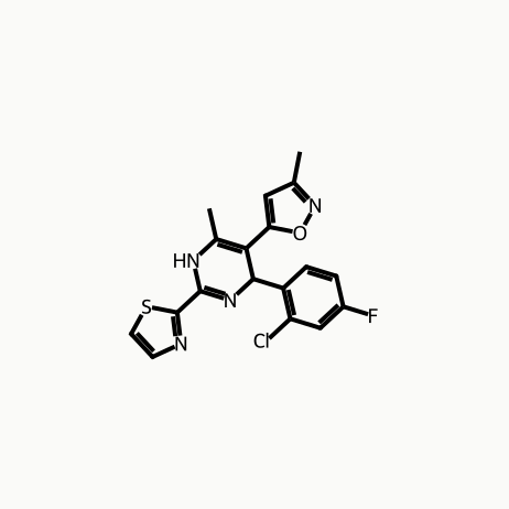 CC1=C(c2cc(C)no2)C(c2ccc(F)cc2Cl)N=C(c2nccs2)N1